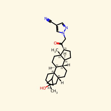 C[C@@]1(O)CC[C@@]2(C3CC3)[C@H](CC[C@H]3[C@@H]4CC[C@H](C(=O)Cn5cc(C#N)cn5)[C@@]4(C)CC[C@@H]32)C1